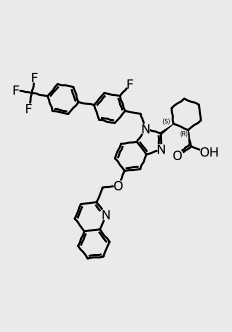 O=C(O)[C@@H]1CCCC[C@@H]1c1nc2cc(OCc3ccc4ccccc4n3)ccc2n1Cc1ccc(-c2ccc(C(F)(F)F)cc2)cc1F